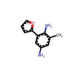 Cc1cc(N)cc(-c2ccco2)c1N